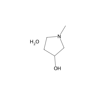 CN1CCC(O)C1.O